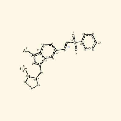 CC(=O)n1cc(C[C@H]2CCCN2C)c2cc(/C=C/S(=O)(=O)c3ccccc3)ccc21